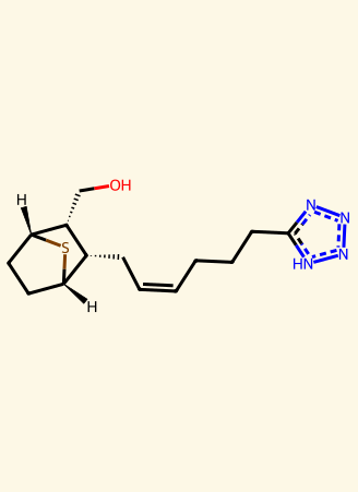 OC[C@@H]1[C@H](C/C=C\CCCc2nnn[nH]2)[C@@H]2CC[C@H]1S2